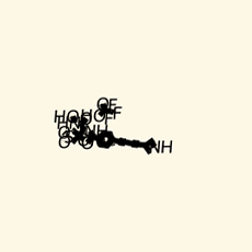 COC1(C(NC(=O)c2ccc(C#CC#CC3CNC3)cc2)C(=O)NO)CS(=O)(=O)C1.O=C(O)C(F)(F)F